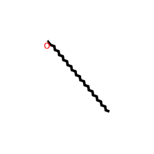 CCCCCCCCCCCCCCCCCCCCCCCCCCCC1CO1